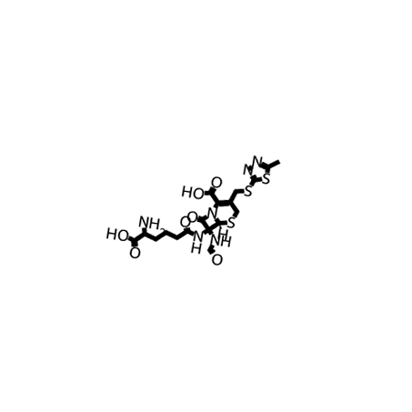 Cc1nnc(SCC2=C(C(=O)O)N3C(=O)C(NC=O)(NC(=O)CCCC(N)C(=O)O)[C@@H]3SC2)s1